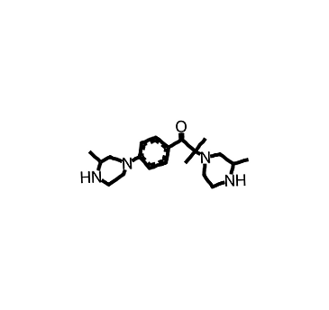 CC1CN(c2ccc(C(=O)C(C)(C)N3CCNC(C)C3)cc2)CCN1